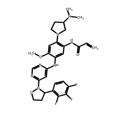 C=CC(=O)Nc1cc(Nc2cc(N3OCCC3c3ccc(F)c(F)c3F)ncn2)c(OC)cc1N1CCC(N(C)C)C1